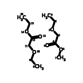 CCOCC(=O)OC.CCOCC(=O)OCC